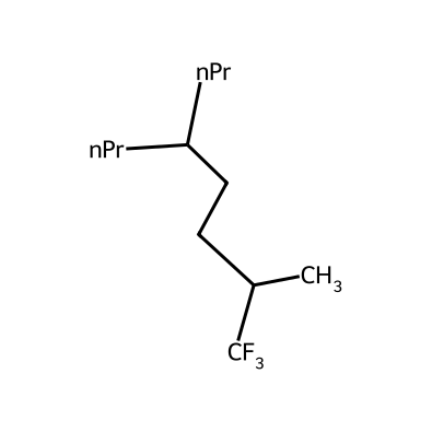 CCCC(CCC)CCC(C)C(F)(F)F